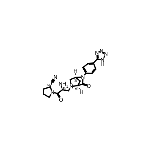 N#C[C@@H]1CCCN1C(=O)[C@@H](N)CN1C[C@@H]2C[C@H]1C(=O)N2c1ccc(-c2nnn[nH]2)cc1